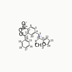 CC/C(=C\c1ccc([N+](=O)[O-])c(C(=O)c2ccccc2)c1)c1ccco1